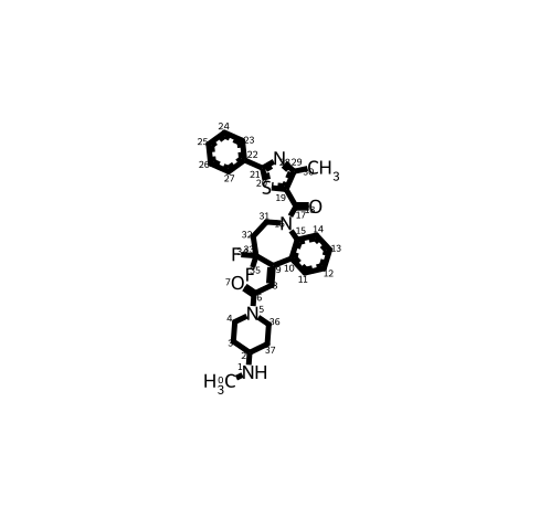 CNC1CCN(C(=O)C=C2c3ccccc3N(C(=O)c3sc(-c4ccccc4)nc3C)CCC2(F)F)CC1